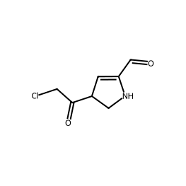 O=CC1=CC(C(=O)CCl)CN1